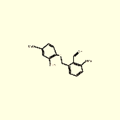 CNc1cccc(COc2ccc(OC)cc2C=O)c1C=N